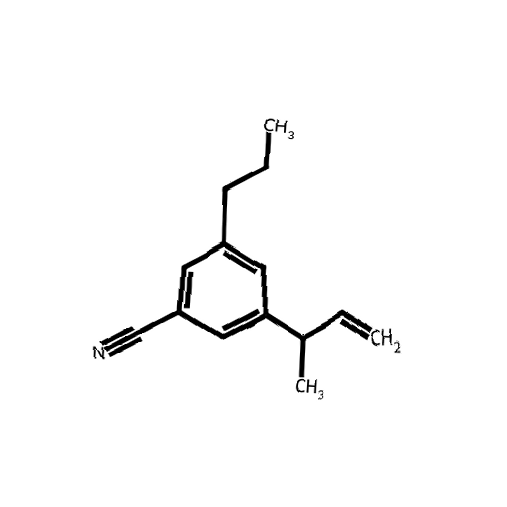 C=C[C](C)c1cc(C#N)cc(CCC)c1